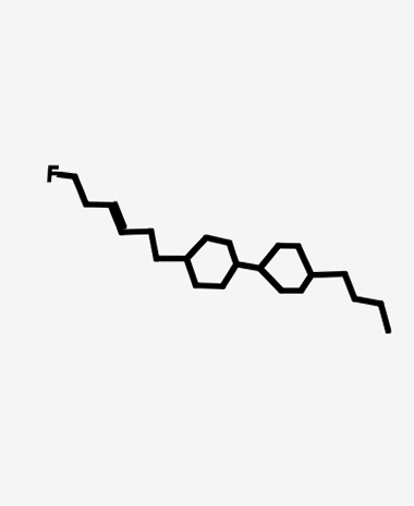 CCCCC1CCC(C2CCC(CC/C=C/CCF)CC2)CC1